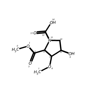 COC(=O)C1C(OC)C(O)CN1C(=O)O